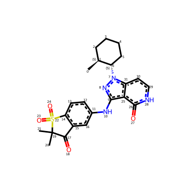 C[C@H]1CCCC[C@@H]1n1nc(Nc2ccc3c(c2)C(=O)C(C)(C)S3(=O)=O)c2c(=O)[nH]ccc21